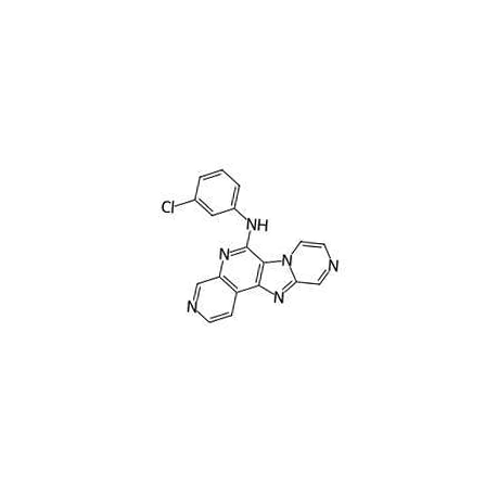 Clc1cccc(Nc2nc3cnccc3c3nc4cnccn4c23)c1